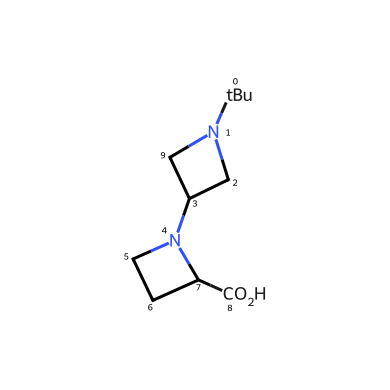 CC(C)(C)N1CC(N2CCC2C(=O)O)C1